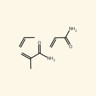 C=C(C)C(N)=O.C=CC.C=CC(N)=O